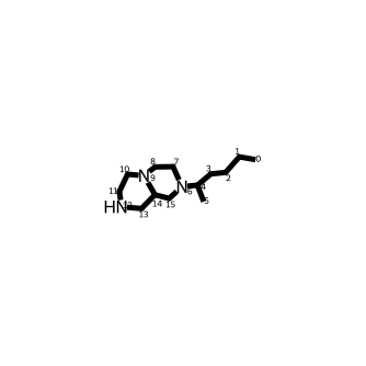 CCCCC(C)N1CCN2CCNCC2C1